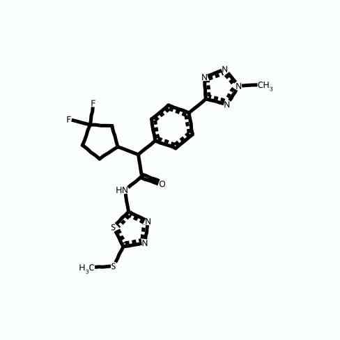 CSc1nnc(NC(=O)C(c2ccc(-c3nnn(C)n3)cc2)C2CCC(F)(F)C2)s1